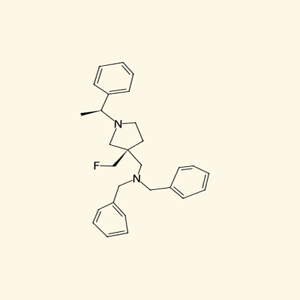 C[C@@H](c1ccccc1)N1CC[C@](CF)(CN(Cc2ccccc2)Cc2ccccc2)C1